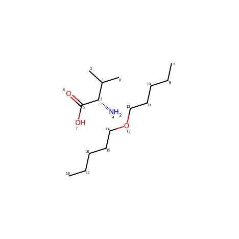 CC(C)[C@H](N)C(=O)O.CCCCCOCCCCC